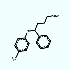 CNCCCC(Oc1ccc(C(F)(F)F)cc1)c1ccccc1